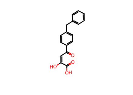 O=C(O)/C(O)=C\C(=O)c1ccc(Cc2ccccc2)cc1